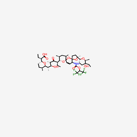 CC[C@@H](C(=O)[C@@H](C)[C@@H](O)[C@H](C)[C@@H]1O[C@@H]([C@@H](CC)C(=O)O)CC[C@@H]1C)[C@H]1O[C@]2(C=CC(NC(=O)OC(C(F)(F)F)C(F)(F)F)[C@]3(CC[C@@](C)([C@H]4CC[C@](O)(CC)[C@H](C)O4)O3)O2)[C@H](C)C[C@@H]1C